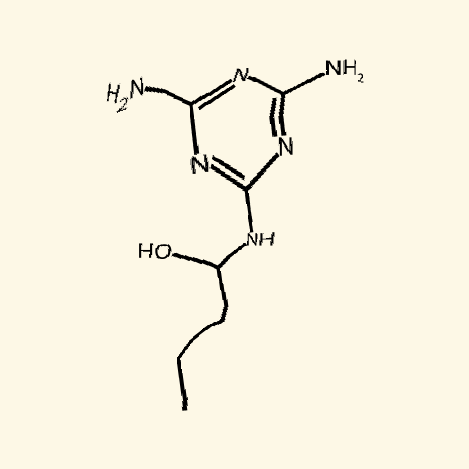 CCCC(O)Nc1nc(N)nc(N)n1